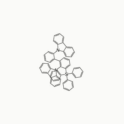 c1ccc([Si](c2ccccc2)(c2ccccc2)c2cccc(-c3ccccc3-n3c4ccccc4c4ccccc43)c2-n2c3ccccc3c3ccccc32)cc1